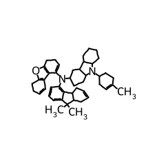 CC1=CCC(N2C3CCCCC3C3CC(N(C4=CCCc5oc6c(c54)C=CCC6)c4cccc5c4C4CC=CCC4C5(C)C)CCC32)CC1